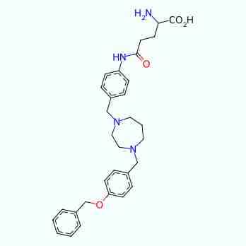 NC(CCC(=O)Nc1ccc(CN2CCCN(Cc3ccc(OCc4ccccc4)cc3)CC2)cc1)C(=O)O